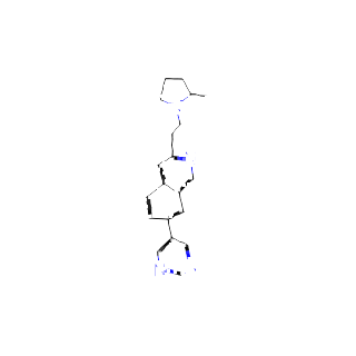 CC1CCCN1CCc1cc2ccc(-c3cncnc3)cc2cn1